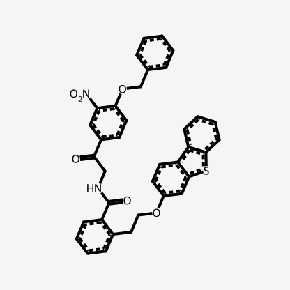 O=C(CNC(=O)c1ccccc1CCOc1ccc2c(c1)sc1ccccc12)c1ccc(OCc2ccccc2)c([N+](=O)[O-])c1